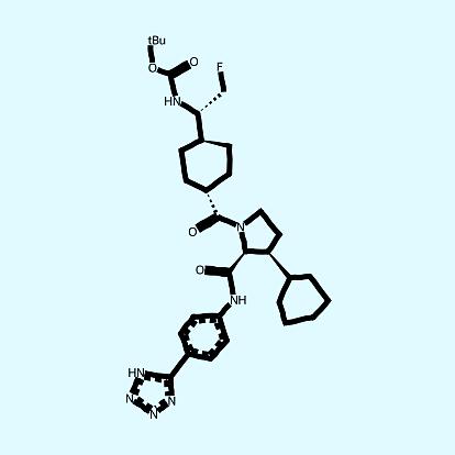 CC(C)(C)OC(=O)N[C@H](CF)[C@H]1CC[C@H](C(=O)N2CC[C@@H](C3CCCCC3)[C@H]2C(=O)Nc2ccc(-c3nnn[nH]3)cc2)CC1